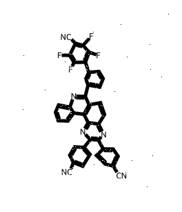 N#Cc1ccc(-c2nc3ccc4c(-c5cccc(-c6c(F)c(F)c(C#N)c(F)c6F)c5)nc5ccccc5c4c3nc2-c2ccc(C#N)cc2)cc1